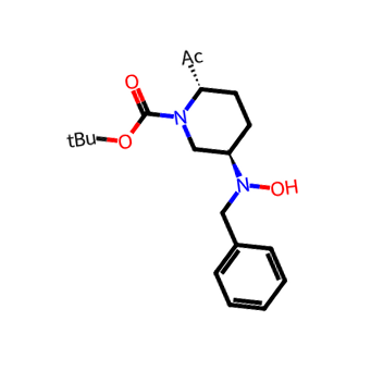 CC(=O)[C@@H]1CC[C@@H](N(O)Cc2ccccc2)CN1C(=O)OC(C)(C)C